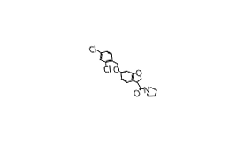 O=C(C1COc2cc(OCc3ccc(Cl)cc3Cl)ccc21)N1CCCC1